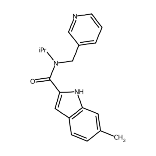 Cc1ccc2cc(C(=O)N(Cc3cccnc3)C(C)C)[nH]c2c1